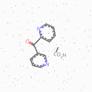 CC(=O)O.O=C(c1cccnc1)c1ccccn1